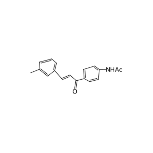 CC(=O)Nc1ccc(C(=O)C=Cc2cccc(C)c2)cc1